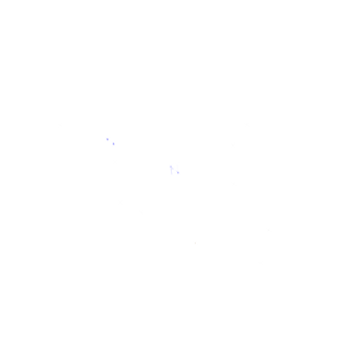 c1ccc(-n2c3ccccc3c3c(N(c4ccc5oc6ccccc6c5c4)c4cccc5sc6c7ccccc7ccc6c45)cccc32)cc1